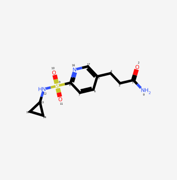 NC(=O)C[CH]c1ccc(S(=O)(=O)NC2CC2)nc1